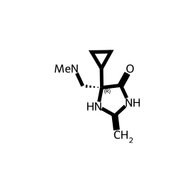 C=C1NC(=O)[C@](CNC)(C2CC2)N1